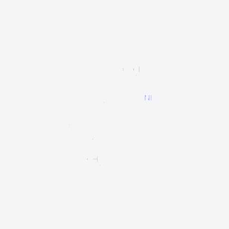 C=C(Cl)CCC(N)C(=O)O